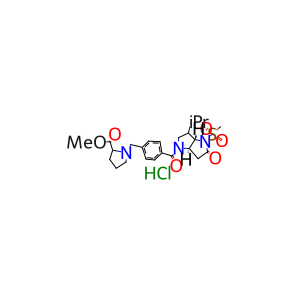 COC(=O)C1CCCN1Cc1ccc(C(=O)N2CC(C(C)C)[C@H]3[C@H]2CC(=O)N3S(C)(=O)=O)cc1.Cl